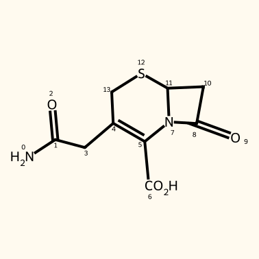 NC(=O)CC1=C(C(=O)O)N2C(=O)CC2SC1